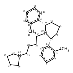 Cc1cccnc1[C@H]1CCC[C@@H](c2ncccc2C)N1CCCCN1CCCC1